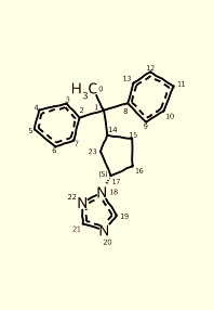 CC(c1ccccc1)(c1ccccc1)C1CC[C@H](n2cncn2)C1